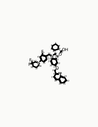 O=C(O)[C@H]1CCCC[C@H]1c1nc2cc(OCc3ccc4ccccc4n3)ccc2n1Cc1ccc(N2CCCC(F)(F)C2)cc1F